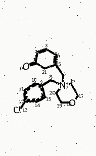 O=C1C=C[C]=C(C[N+]2(Cc3ccc(Cl)cc3)CCOCC2)C1